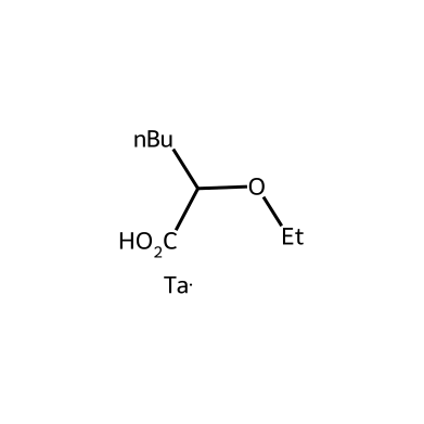 CCCCC(OCC)C(=O)O.[Ta]